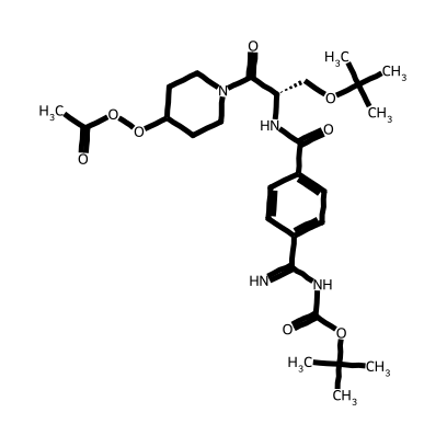 CC(=O)OOC1CCN(C(=O)[C@H](COC(C)(C)C)NC(=O)c2ccc(C(=N)NC(=O)OC(C)(C)C)cc2)CC1